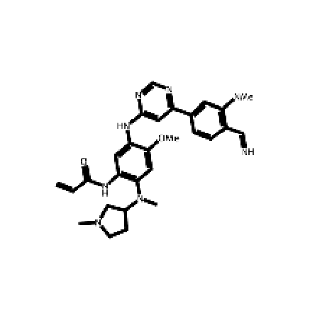 C=CC(=O)Nc1cc(Nc2cc(-c3ccc(C=N)c(NC)c3)ncn2)c(OC)cc1N(C)C1CCN(C)C1